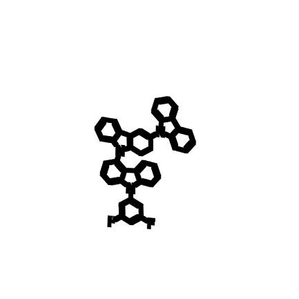 Fc1cc(F)cc(-n2c3ccccc3c3c(-n4c5c(c6ccccc64)C=C(n4c6ccccc6c6ccccc64)CC5)cccc32)c1